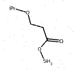 CC(C)OCCC(=O)O[SiH3]